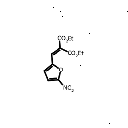 CCOC(=O)C(=Cc1ccc([N+](=O)[O-])o1)C(=O)OCC